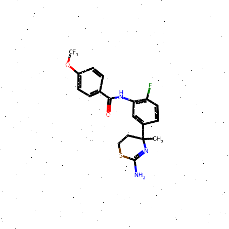 CC1(c2ccc(F)c(NC(=O)c3ccc(OC(F)(F)F)cc3)c2)CCSC(N)=N1